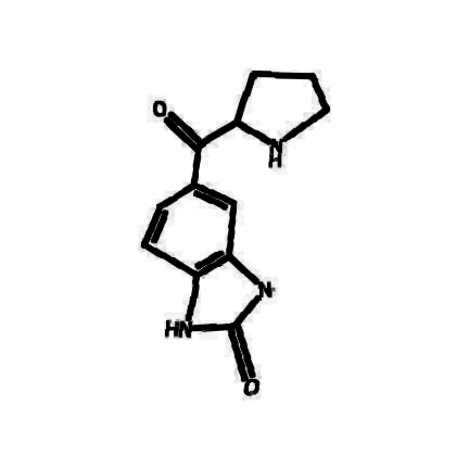 O=C1[N]c2cc(C(=O)C3CCCN3)ccc2N1